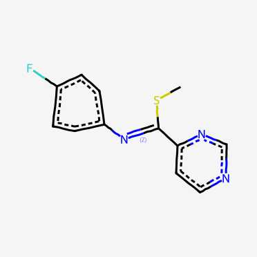 CS/C(=N\c1ccc(F)cc1)c1ccncn1